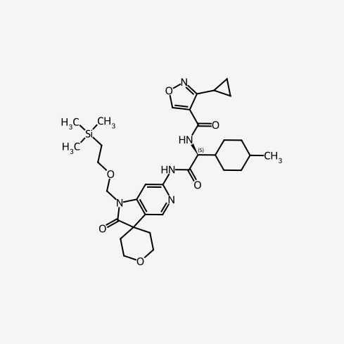 CC1CCC([C@H](NC(=O)c2conc2C2CC2)C(=O)Nc2cc3c(cn2)C2(CCOCC2)C(=O)N3COCC[Si](C)(C)C)CC1